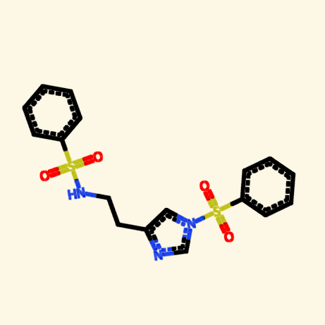 O=S(=O)(NCCc1cn(S(=O)(=O)c2ccccc2)cn1)c1ccccc1